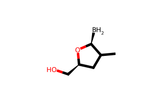 B[C@@H]1O[C@H](CO)CC1C